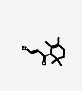 CC/C=C/C(=O)[C@@H]1C(C)=C(C)CCC1(C)C